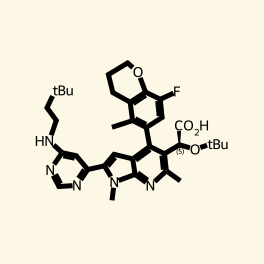 Cc1nc2c(cc(-c3cc(NCCC(C)(C)C)ncn3)n2C)c(-c2cc(F)c3c(c2C)CCCO3)c1[C@H](OC(C)(C)C)C(=O)O